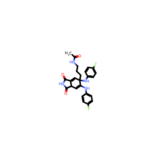 CC(=O)NCCCC1(Nc2ccc(F)cc2)C=C2C(=O)NC(=O)C2C=C1Nc1ccc(F)cc1